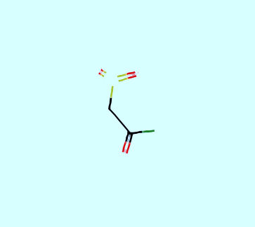 O=C(Cl)C[SH](=O)=O